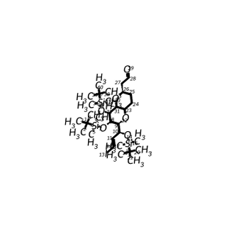 CC(C)(C)[Si](C)(C)O[C@@H]1[C@H]([C@H](/C=C/I)O[Si](C)(C)C(C)(C)C)OC2CC[C@H](CC=O)O[C@@H]2[C@@H]1O[Si](C)(C)C(C)(C)C